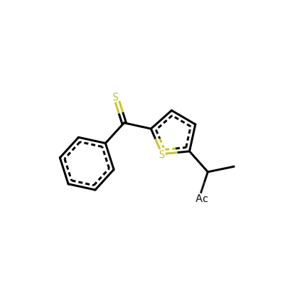 CC(=O)C(C)c1ccc(C(=S)c2ccccc2)s1